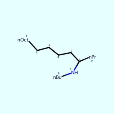 [CH2]CCC(CCCCCCCCCCCC)NCCCC